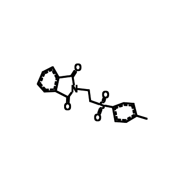 Cc1ccc(S(=O)(=O)CCN2C(=O)c3ccccc3C2=O)cc1